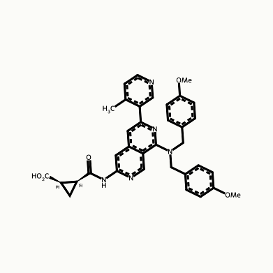 COc1ccc(CN(Cc2ccc(OC)cc2)c2nc(-c3cnccc3C)cc3cc(NC(=O)[C@H]4C[C@H]4C(=O)O)ncc23)cc1